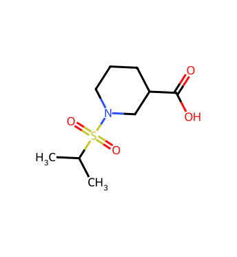 CC(C)S(=O)(=O)N1CCCC(C(=O)O)C1